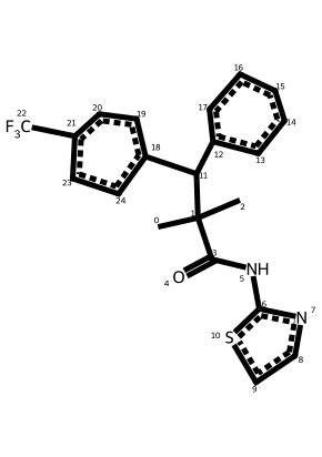 CC(C)(C(=O)Nc1nccs1)C(c1ccccc1)c1ccc(C(F)(F)F)cc1